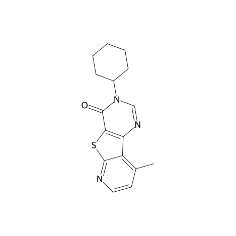 Cc1ccnc2sc3c(=O)n(C4CCCCC4)cnc3c12